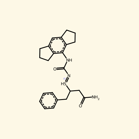 NC(=O)CC(Cc1ccccc1)/[SH]=N/C(=O)Nc1c2c(cc3c1CCC3)CCC2